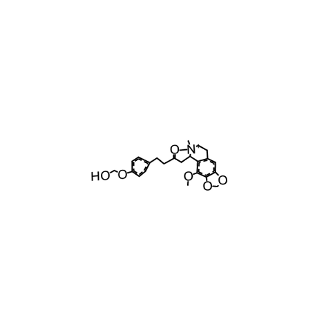 COc1c2c(cc3c1C(CC(=O)CCc1ccc(OCO)cc1)[N+](C)(C)CC3)OCO2